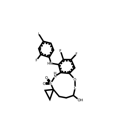 O=S1(=O)Nc2c(cc(F)c(F)c2Nc2ccc(I)cc2F)OCC(O)CCC12CC2